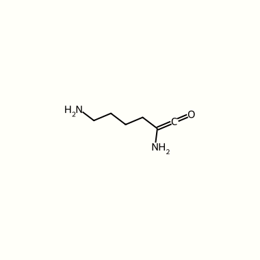 NCCCCC(N)=C=O